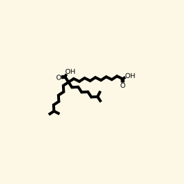 CC(C)CCCCCC(CCCCCCCCCC(=O)O)(CCCCCC(C)C)C(=O)O